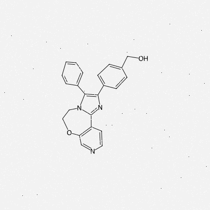 OCc1ccc(-c2nc3n(c2-c2ccccc2)CCOc2cnccc2-3)cc1